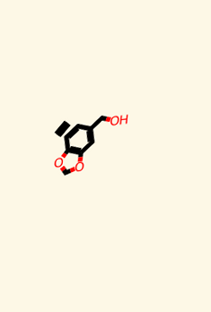 C#C.OCc1ccc2c(c1)OCO2